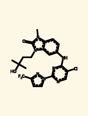 Cn1c(=O)n(CCC(C)(C)O)c2cc(Nc3nc(-n4ccc(C(F)(F)F)n4)ncc3Cl)ccc21